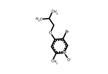 Cc1cc(OCC(C)C)c(Br)c[n+]1[O-]